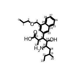 CCCOCc1cc(C(C(C)C(=O)O)C(O)C(N)CC(C)CC)cc2ccccc12